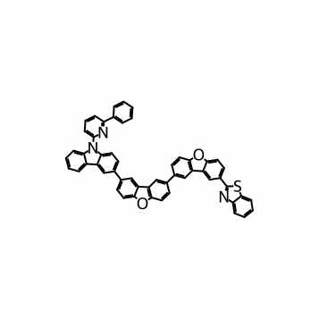 c1ccc(-c2cccc(-n3c4ccccc4c4cc(-c5ccc6oc7ccc(-c8ccc9oc%10ccc(-c%11nc%12ccccc%12s%11)cc%10c9c8)cc7c6c5)ccc43)n2)cc1